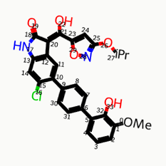 COc1cccc(-c2ccc(-c3cc4c(cc3Cl)NC(=O)C4=C(O)c3cc(OC(C)C)no3)cc2)c1O